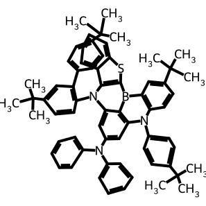 CC(C)(C)c1ccc(-c2cc(C(C)(C)C)ccc2N2c3cc(N(c4ccccc4)c4ccccc4)cc4c3B(c3cc(C(C)(C)C)ccc3N4c3ccc(C(C)(C)C)cc3)c3sc4ccccc4c32)cc1